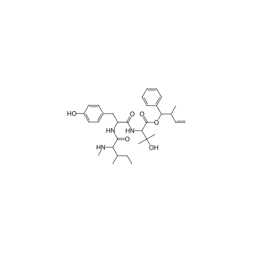 C=CC(C)C(OC(=O)C(NC(=O)C(Cc1ccc(O)cc1)NC(=O)C(NC)C(C)CC)C(C)(C)O)c1ccccc1